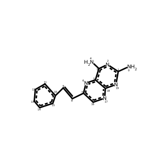 Nc1nc(N)c2nc(C=Cc3ccccc3)cnc2n1